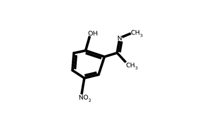 CN=C(C)c1cc([N+](=O)[O-])ccc1O